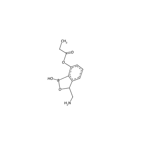 CCC(=O)Oc1cccc2c1B(O)OC2CN